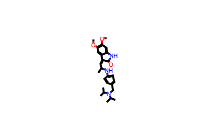 COc1cc2c(cc1OC)C(=CC(C)Nc1ccc(CN(C(C)C)C(C)C)cc1)C(=O)N2